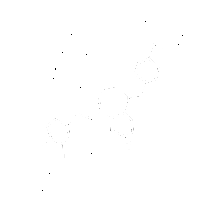 Cl.Cl.O=[N+]([O-])c1ccc(CN2CCN=C(C=Cc3ccc(Cl)c(Cl)c3)c3ccccc32)cc1